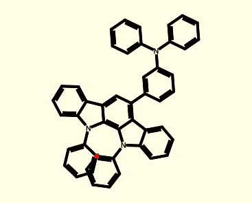 c1ccc(N(c2ccccc2)c2cccc(-c3cc4c5ccccc5n(-c5ccccc5)c4c4c3c3ccccc3n4-c3ccccc3)c2)cc1